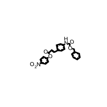 O=C(C=Cc1ccc(NC(=O)OCc2ccccc2)cc1)Oc1ccc([N+](=O)[O-])cc1